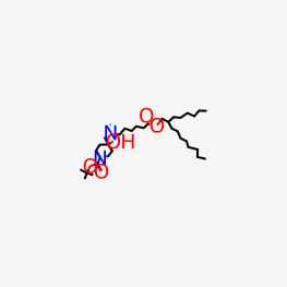 CCCCCCCCC(CCCCCC)COC(=O)CCCCCN(C)CC1(O)CCN(C(=O)OC(C)(C)C)CC1